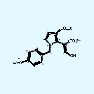 CCOC(=O)C(=CO)c1c(C(=O)OCC)ccn1Cc1ccc(OC)cc1